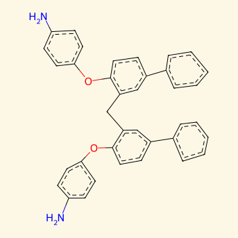 Nc1ccc(Oc2ccc(-c3ccccc3)cc2Cc2cc(-c3ccccc3)ccc2Oc2ccc(N)cc2)cc1